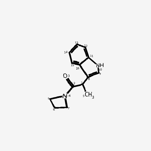 CC(C(=O)N1CCC1)c1c[nH]c2ccccc12